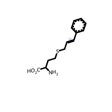 NC(CCSC/C=C/c1ccccc1)C(=O)O